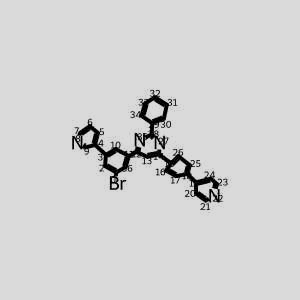 Brc1cc(-c2cccnc2)cc(-c2cc(-c3ccc(-c4ccncc4)cc3)nc(-c3ccccc3)n2)c1